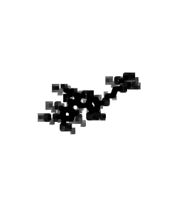 COc1cc(OCCCO[Si](C)(C)C(C)(C)C)ccc1Cc1c(C)nc(N)nc1-c1c(C)cc(C)c(S(=O)(=O)O)c1C